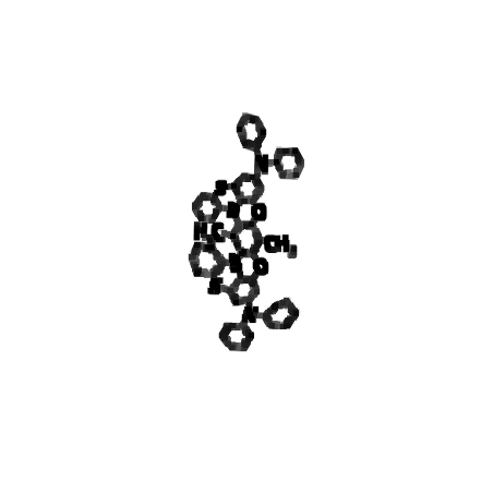 Cc1c2c(c(C)c3c1Oc1cc(N(c4ccccc4)c4ccccc4)cc4c1B3c1ccccc1S4)B1c3ccccc3Sc3cc(N(c4ccccc4)c4ccccc4)cc(c31)O2